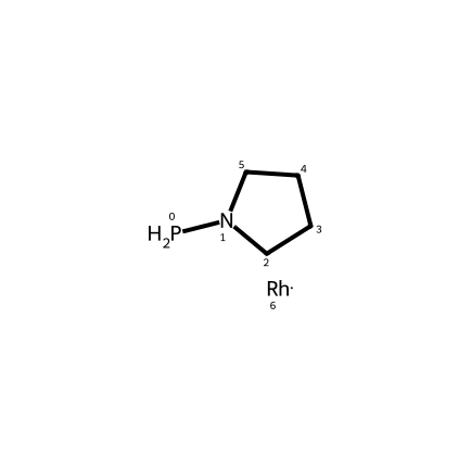 PN1CCCC1.[Rh]